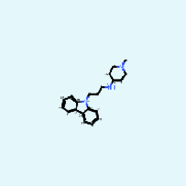 CN1CCC(NCCCn2c3ccccc3c3ccccc32)CC1